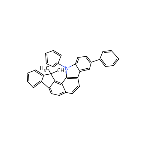 CC1(C)c2ccccc2-c2ccc3ccc4c5cc(-c6ccccc6)ccc5n(-c5ccccc5)c4c3c21